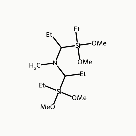 CCC(N(C)C(CC)[Si](CC)(OC)OC)[Si](CC)(OC)OC